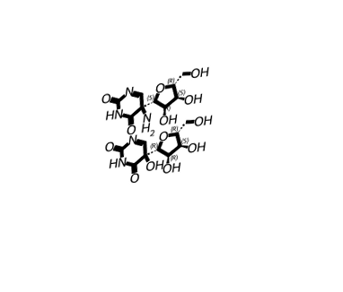 NC1([C@@H]2O[C@H](CO)[C@@H](O)[C@H]2O)C=NC(=O)NC1=O.O=C1N=CC(O)([C@@H]2O[C@H](CO)[C@@H](O)[C@H]2O)C(=O)N1